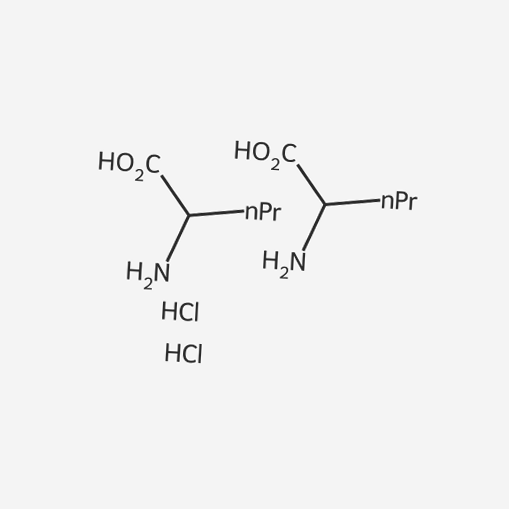 CCCC(N)C(=O)O.CCCC(N)C(=O)O.Cl.Cl